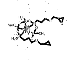 CO[Si](OC)(O[Si](C)(C)CCCOCC1CC1)O[Si](C)(C)O[Si](C)(CCCOCC1CO1)O[Si](C)(C)C